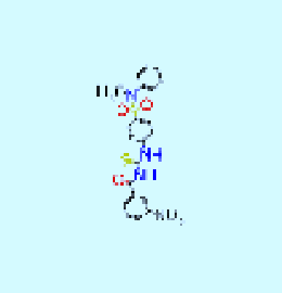 CN(c1ccccc1)S(=O)(=O)c1ccc(NC(=S)NC(=O)c2cccc([N+](=O)[O-])c2)cc1